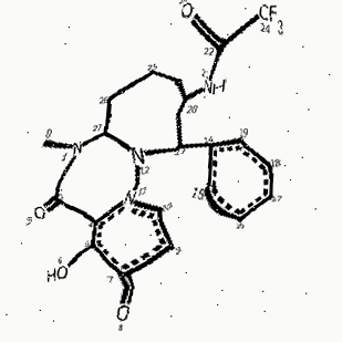 CN1C(=O)c2c(O)c(=O)ccn2N2C(c3ccccc3)C(NC(=O)C(F)(F)F)CCC12